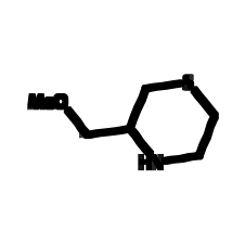 CO[CH]C1CSCCN1